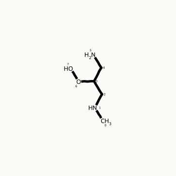 CNCC(CN)OO